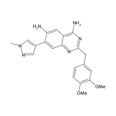 COc1ccc(Cc2nc(N)c3cc(N)c(-c4cnn(C)c4)cc3n2)cc1OC